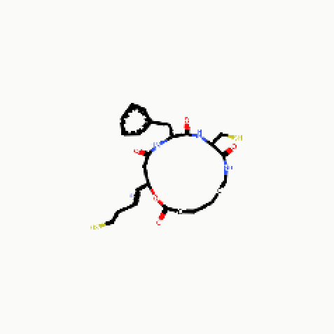 O=C1CC(/C=C/CCS)OC(=O)CCCCCNC(=O)C(CS)NC(=O)C(Cc2ccccc2)N1